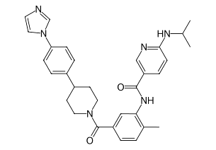 Cc1ccc(C(=O)N2CCC(c3ccc(-n4ccnc4)cc3)CC2)cc1NC(=O)c1ccc(NC(C)C)nc1